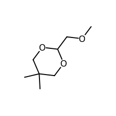 COCC1OCC(C)(C)CO1